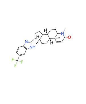 CN1C(=O)C=C[C@@]2(C)C1CC[C@@H]1[C@H]2CC[C@]2(C)C(c3nc4ccc(C(F)(F)F)cc4[nH]3)CC[C@@H]12